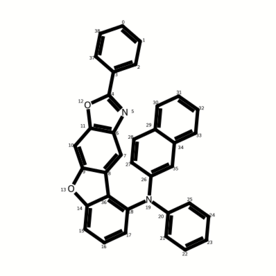 c1ccc(-c2nc3cc4c(cc3o2)oc2cccc(N(c3ccccc3)c3ccc5ccccc5c3)c24)cc1